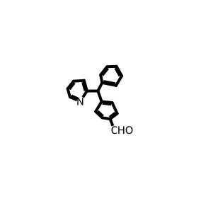 O=Cc1ccc(C(c2ccccc2)c2ccccn2)cc1